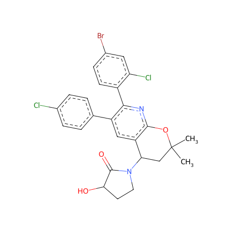 CC1(C)CC(N2CCC(O)C2=O)c2cc(-c3ccc(Cl)cc3)c(-c3ccc(Br)cc3Cl)nc2O1